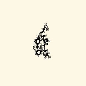 C=C(Nc1ccccc1NC(=O)c1ccc(CN(CCCN(C)C)C(=C)Nc2ccsc2)cn1)OC(C)(C)C